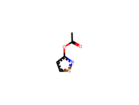 CC(=O)Oc1ccsn1